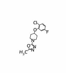 Cc1nnc(N2CCC(Oc3cc(F)ccc3Cl)CC2)o1